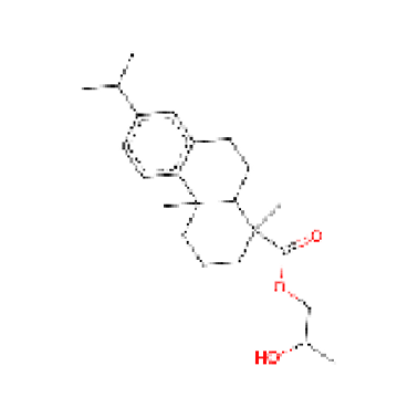 CC(O)COC(=O)C1(C)CCCC2(C)c3ccc(C(C)C)cc3CCC12